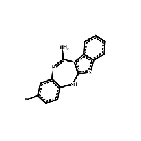 NC1=Nc2cc(F)ccc2Nc2sc3ccccc3c21